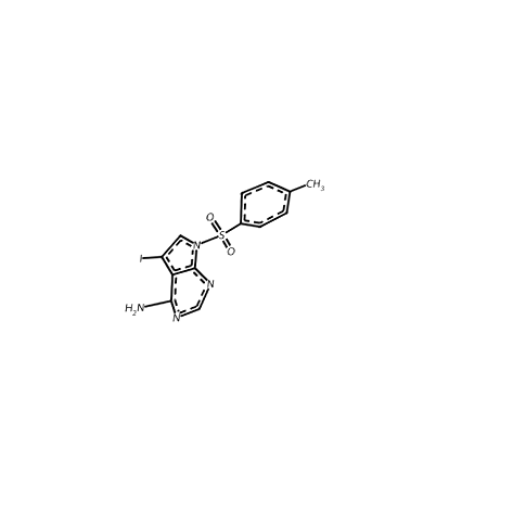 Cc1ccc(S(=O)(=O)n2cc(I)c3c(N)ncnc32)cc1